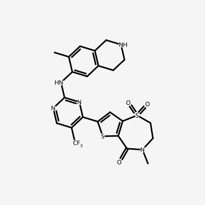 Cc1cc2c(cc1Nc1ncc(C(F)(F)F)c(-c3cc4c(s3)C(=O)N(C)CCS4(=O)=O)n1)CCNC2